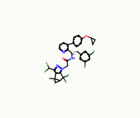 O=C(Cn1nc(C(F)F)c2c1C(F)(F)C1C[C@H]21)N[C@@H](Cc1cc(F)cc(F)c1)c1ncccc1-c1ccc(OC2CC2)cc1